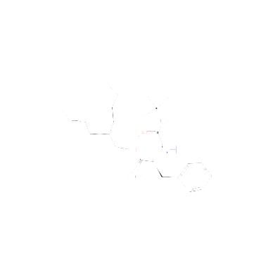 CCCCC(CCCC)COC(=O)[C@H](Cc1ccccc1)NC(=O)OC(C)(C)C